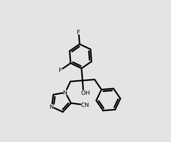 N#Cc1cncn1CC(O)(Cc1ccccc1)c1ccc(F)cc1F